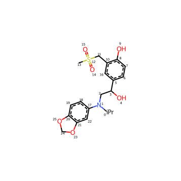 CC(C)N(CC(O)c1ccc(O)c(CS(C)(=O)=O)c1)c1ccc2c(c1)OCO2